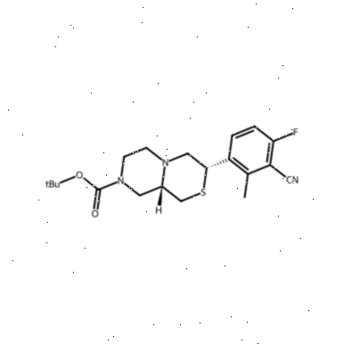 Cc1c([C@H]2CN3CCN(C(=O)OC(C)(C)C)C[C@H]3CS2)ccc(F)c1C#N